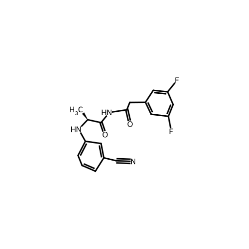 C[C@H](Nc1cccc(C#N)c1)C(=O)NC(=O)Cc1cc(F)cc(F)c1